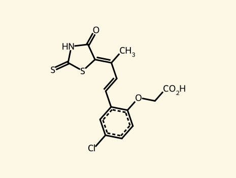 CC(C=Cc1cc(Cl)ccc1OCC(=O)O)=C1SC(=S)NC1=O